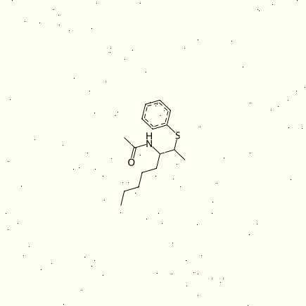 CCCCCC(NC(C)=O)C(C)Sc1ccccc1